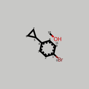 Brc1ccc(C2CC2)cc1.CO